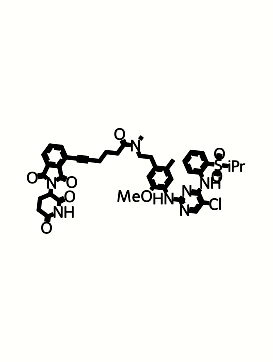 COc1cc(CCN(C)C(=O)CCCC#Cc2cccc3c2C(=O)N(C2CCC(=O)NC2=O)C3=O)c(C)cc1Nc1ncc(Cl)c(Nc2ccccc2S(=O)(=O)C(C)C)n1